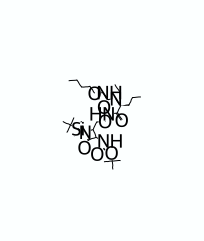 CCCCONC(=O)N(CC)[C@@H](CCC)C(=O)NOCC1C(NC(=O)OC(C)(C)C)C(=O)N1[Si](C)(C)C(C)(C)C